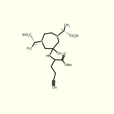 C#CCCC(NC1(C)CN([C@H](C)C(=O)OCC)CCN([C@H](C)C(=O)OCC)C1)C(=O)OC